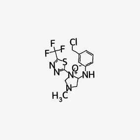 CN1CC(Nc2cccc(CCl)c2)[N+]([O-])(c2nnc(C(F)(F)F)s2)C1